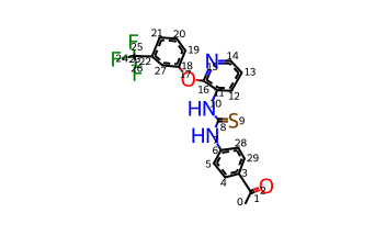 CC(=O)c1ccc(NC(=S)Nc2cccnc2Oc2cccc(C(F)(F)F)c2)cc1